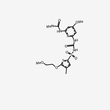 CNC(=O)Nc1cc(OC)cc(NC(=O)NS(=O)(=O)c2cc(C)c(OCCOC)s2)n1